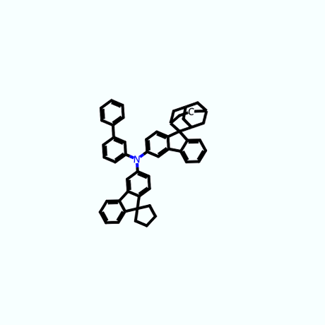 c1ccc(-c2cccc(N(c3ccc4c(c3)-c3ccccc3C43CCCC3)c3ccc4c(c3)-c3ccccc3C43C4CCC5CC(C4)CC3C5)c2)cc1